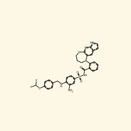 O=C(NS(=O)(=O)c1ccc(NCc2ccc(OC(F)F)cc2)c([N+](=O)[O-])c1)c1ccccc1N1CCCOc2nc3[nH]ccc3cc21